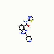 O=C(Nc1nccs1)c1cccc2[nH]c(-c3ccncc3)nc12